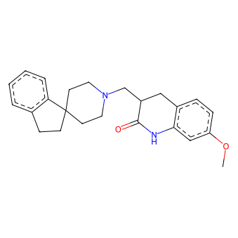 COc1ccc2c(c1)NC(=O)C(CN1CCC3(CCc4ccccc43)CC1)C2